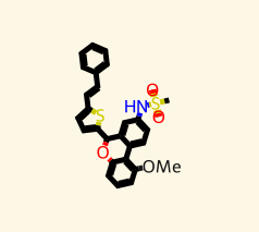 COc1cccc2c1-c1ccc(NS(C)(=O)=O)cc1C(c1ccc(C=Cc3ccccc3)s1)O2